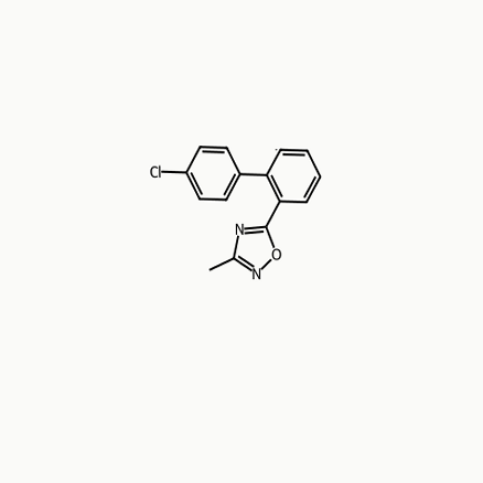 Cc1noc(-c2ccc[c]c2-c2ccc(Cl)cc2)n1